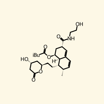 CCC(C)C(=O)O[C@H]1C[C@H](C(=O)NCCO)C=C2C=C[C@H](C)[C@H](CC[C@@H]3C[C@@H](O)CC(=O)O3)[C@H]21